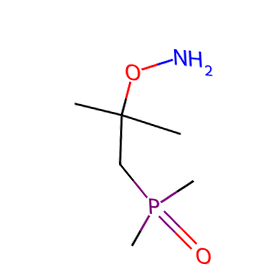 CC(C)(CP(C)(C)=O)ON